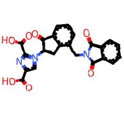 O=C(O)c1cn(C2Cc3c(CN4C(=O)c5ccccc5C4=O)cccc3C2=O)c(C(=O)O)n1